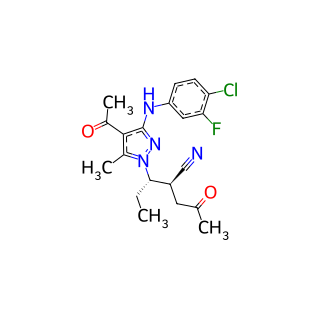 CC[C@@H]([C@@H](C#N)CC(C)=O)n1nc(Nc2ccc(Cl)c(F)c2)c(C(C)=O)c1C